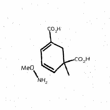 CC1(C(=O)O)C=CC=C(C(=O)O)C1.CON